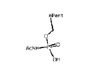 CCCCCCOP(=O)(O)NC(C)=O